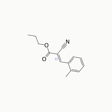 CCCOC(=O)/C(C#N)=C/c1ccccc1C